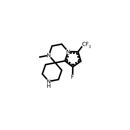 CN1CCn2c(C(F)(F)F)cc(F)c2C12CCNCC2